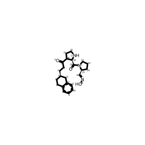 O=C(CC[C@@H]1CCc2ccccc2C1)C1CCN[C@H]1C(=O)N1CCC[C@H]1C=NO